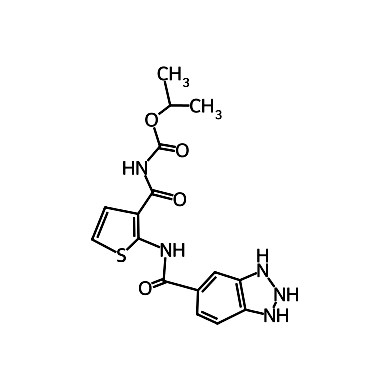 CC(C)OC(=O)NC(=O)c1ccsc1NC(=O)c1ccc2c(c1)NNN2